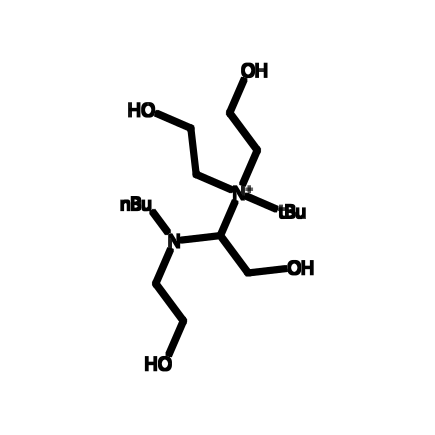 CCCCN(CCO)C(CO)[N+](CCO)(CCO)C(C)(C)C